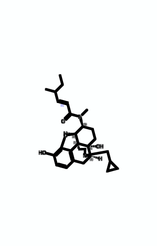 CCC(C)/C=C/C(=O)N(C)[C@H]1CC[C@@]2(O)[C@H]3Cc4ccc(O)c5c4[C@@]2(CCN3CC2CC2)[C@H]1O5